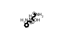 NC(=O)CCC(NC(=O)C(N)C1CCCCC1)C(=O)O